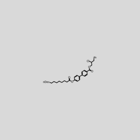 CCCCCCCCCCCCCCCCCC(=O)Oc1ccc(-c2ccc(C(=O)OCC(Cl)CC(C)C)cc2)cc1